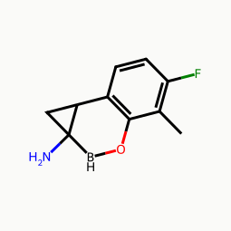 Cc1c(F)ccc2c1OBC1(N)CC21